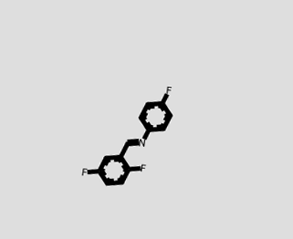 Fc1ccc(N=Cc2cc(F)ccc2F)cc1